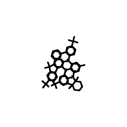 Cc1cc2c3c(c1)N1c4c(cc(C(C)(C)C)cc4C4(C)CCCCC14C)B3c1c(ccc3c1-c1ccc(C(C)(C)C)cc1C3(C)C)N2c1ccc(C(C)(C)C)cc1-c1ccccc1